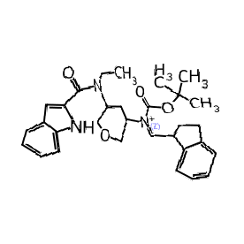 CCN(C(=O)c1cc2ccccc2[nH]1)C1COCC(/[N+](=C/C2CCc3ccccc32)C(=O)OC(C)(C)C)C1